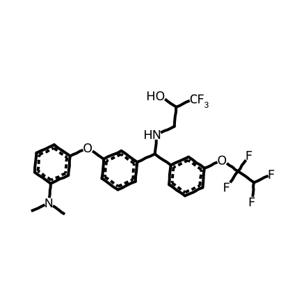 CN(C)c1cccc(Oc2cccc(C(NCC(O)C(F)(F)F)c3cccc(OC(F)(F)C(F)F)c3)c2)c1